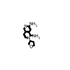 Nc1cc2c(cn1)C=CN([C@@H]1CCOC1)C2N